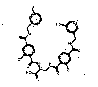 O=C(NCc1cccc(O)c1)c1ccc(C(=O)NC[C@H](NC(=O)c2ccc(C(=O)NCc3cccc(O)c3)cc2Cl)C(=O)O)c(Cl)c1